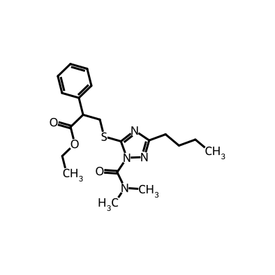 CCCCc1nc(SCC(C(=O)OCC)c2ccccc2)n(C(=O)N(C)C)n1